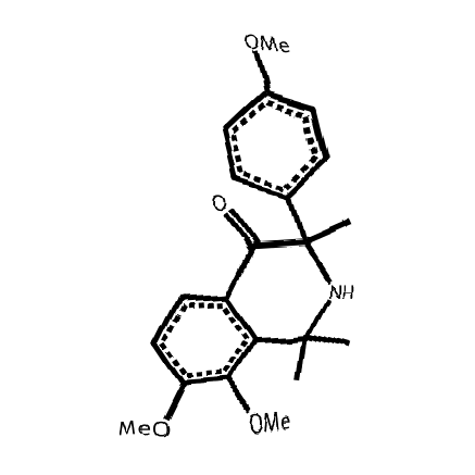 COc1ccc(C2(C)NC(C)(C)c3c(ccc(OC)c3OC)C2=O)cc1